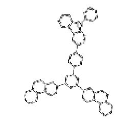 c1ccc(-n2c3ccccc3c3cc(-c4ccc(-c5cc(-c6ccc7c(ccc8ccccc87)c6)cc(-c6ccc7c(ccc8ccccc87)c6)c5)cc4)ccc32)cc1